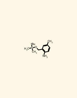 Cc1ccc(N)c(CO[Si](C)(C)C(C)(C)C)c1